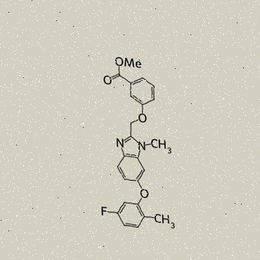 COC(=O)c1cccc(OCc2nc3ccc(Oc4cc(F)ccc4C)cc3n2C)c1